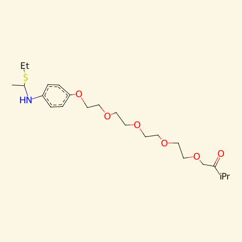 CCSC(C)Nc1ccc(OCCOCCOCCOCCOCC(=O)C(C)C)cc1